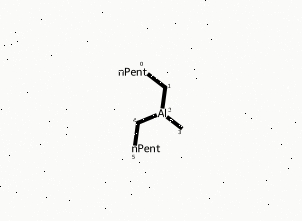 CCCCC[CH2][Al]([CH3])[CH2]CCCCC